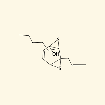 C=CCC12SC1C=CC1(O)SC12CCCCC